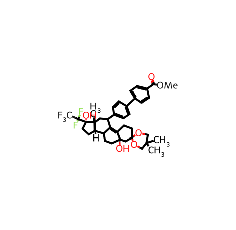 COC(=O)c1ccc(-c2ccc(C3CC4(C)[C@@H](CC[C@@]4(O)C(F)(F)C(F)(F)F)C4CC[C@@]5(O)CC6(CCC5=C34)OCC(C)(C)CO6)cc2)cc1